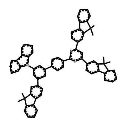 CC1(C)c2ccccc2-c2ccc(-c3cc(-c4ccc(-c5nc(-c6ccc7c(c6)C(C)(C)c6ccccc6-7)cc(-c6ccc7c(c6)C(C)(C)c6ccccc6-7)n5)cc4)cc(-n4c5ccccc5c5ccccc54)c3)cc21